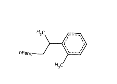 CCCCCC[C](C)c1ccccc1C